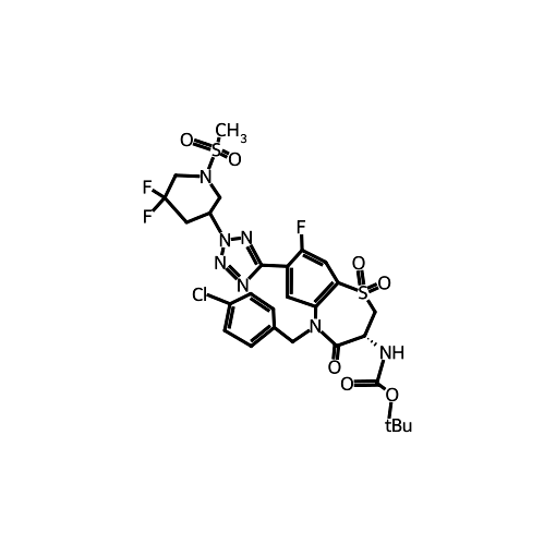 CC(C)(C)OC(=O)N[C@H]1CS(=O)(=O)c2cc(F)c(-c3nnn(C4CN(S(C)(=O)=O)CC(F)(F)C4)n3)cc2N(Cc2ccc(Cl)cc2)C1=O